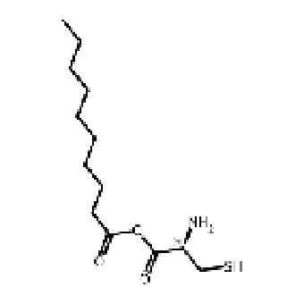 CCCCCCCCCC(=O)OC(=O)[C@@H](N)CS